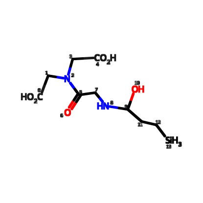 O=C(O)CN(CC(=O)O)C(=O)CNC(O)CC[SiH3]